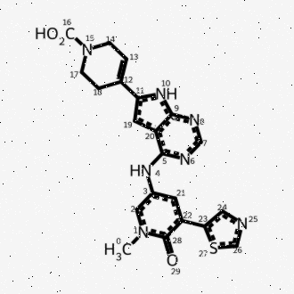 Cn1cc(Nc2ncnc3[nH]c(C4=CCN(C(=O)O)CC4)cc23)cc(-c2cncs2)c1=O